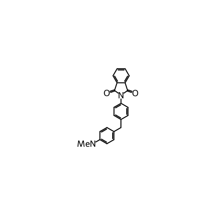 CNc1ccc(Cc2ccc(N3C(=O)c4ccccc4C3=O)cc2)cc1